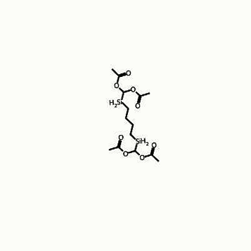 CC(=O)OC(OC(C)=O)[SiH2]CCCC[SiH2]C(OC(C)=O)OC(C)=O